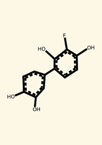 Oc1ccc(-c2ccc(O)c(F)c2O)cc1O